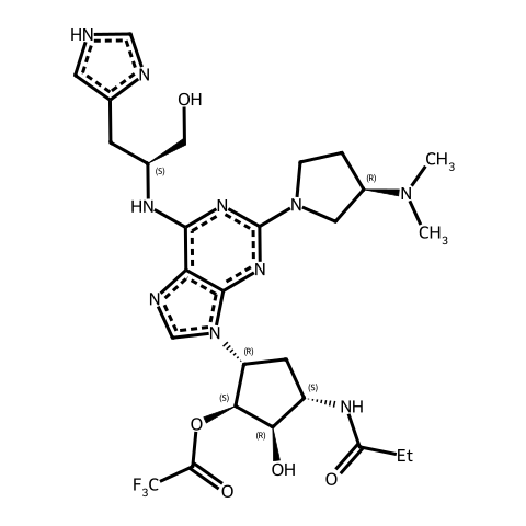 CCC(=O)N[C@H]1C[C@@H](n2cnc3c(N[C@H](CO)Cc4c[nH]cn4)nc(N4CC[C@@H](N(C)C)C4)nc32)[C@H](OC(=O)C(F)(F)F)[C@@H]1O